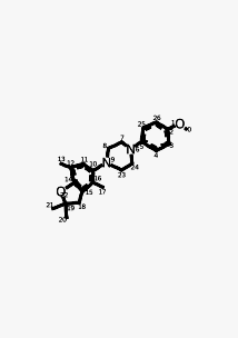 COc1ccc(N2CCN(c3cc(C)c4c(c3C)CC(C)(C)O4)CC2)cc1